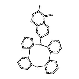 Cc1coc2cc(N3c4ccccc4-c4ccccc4Sc4ccccc4-c4ccccc43)ccc2c1=O